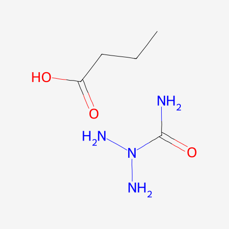 CCCC(=O)O.NC(=O)N(N)N